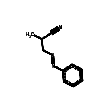 CC(C#N)CN=Nc1ccccc1